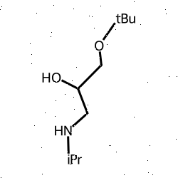 CC(C)NCC(O)COC(C)(C)C